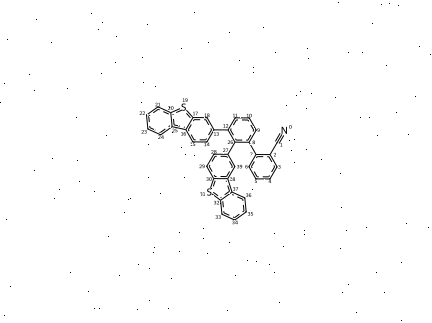 N#Cc1ccccc1-c1cccc(-c2ccc3c(c2)sc2ccccc23)c1-c1ccc2sc3ccccc3c2c1